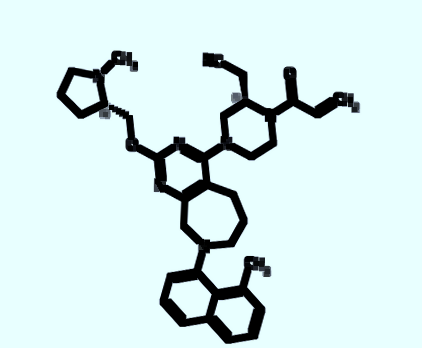 C=CC(=O)N1CCN(c2nc(OC[C@@H]3CCCN3C)nc3c2CCCN(c2cccc4cccc(C)c24)C3)C[C@H]1CC#N